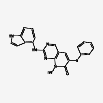 CCCn1c(=O)c(Sc2ccccc2)cc2cnc(Nc3cccc4[nH]ccc34)nc21